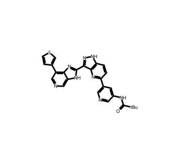 CC(C)(C)C(=O)Nc1cncc(-c2ccc3[nH]nc(-c4nc5c(-c6ccsc6)cncc5[nH]4)c3n2)c1